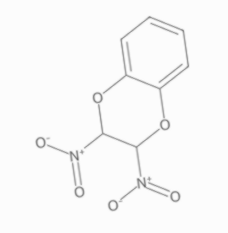 O=[N+]([O-])C1Oc2ccccc2OC1[N+](=O)[O-]